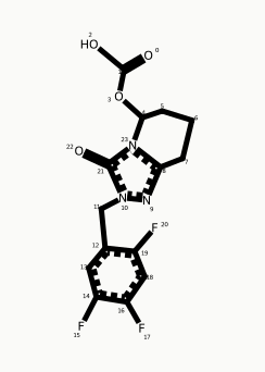 O=C(O)OC1CCCc2nn(Cc3cc(F)c(F)cc3F)c(=O)n21